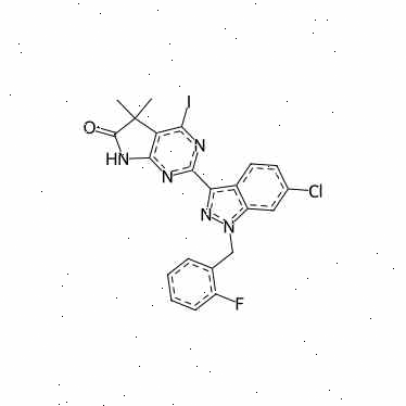 CC1(C)C(=O)Nc2nc(-c3nn(Cc4ccccc4F)c4cc(Cl)ccc34)nc(I)c21